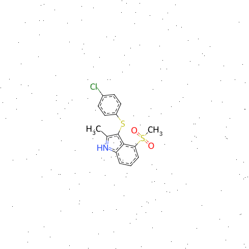 Cc1[nH]c2cccc(S(C)(=O)=O)c2c1Sc1ccc(Cl)cc1